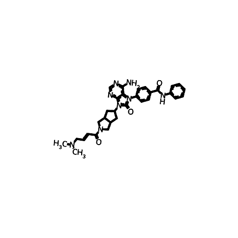 CN(C)C/C=C/C(=O)N1CC2CC(n3c(=O)n(-c4ccc(C(=O)Nc5ccccc5)cc4)c4c(N)ncnc43)CC2C1